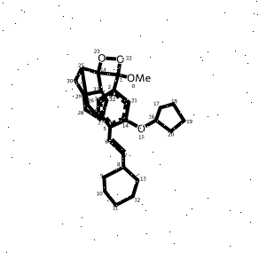 COC1(c2ccc(/C=C/C3CCCCC3)c(OC3CCCC3)c2)OOC12C1CC3CC(C1)C2C3